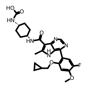 COc1cc(OCC2CC2)c(-c2ncnc3c(C(=O)N[C@H]4CC[C@@H](NC(=O)O)CC4)c(C)[nH]c23)cc1F